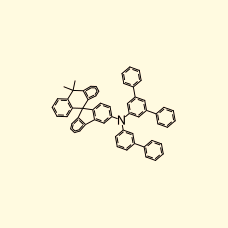 CC1(C)c2ccccc2C2(c3ccccc3-c3cc(N(c4cccc(-c5ccccc5)c4)c4cc(-c5ccccc5)cc(-c5ccccc5)c4)ccc32)c2ccccc21